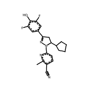 Cc1nc(N2N=C(c3cc(F)c(O)c(F)c3)CC2C2CCCC2)ccc1C#N